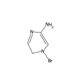 NC1=CN(Br)CC=N1